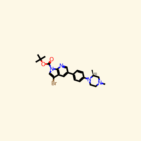 C[C@H]1CN(C)CCN1c1ccc(-c2cnc3c(c2)c(Br)cn3C(=O)OC(C)(C)C)cc1